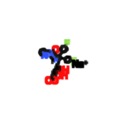 CC(C)n1c(CC[C@@H](O)C[C@@H](O)CC(=O)[O-])c(-c2ccc(F)cc2)c(-c2ccc(F)cc2)c1C(=O)NCc1ccccn1.[Na+]